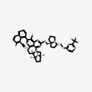 C#Cc1c(F)ccc2cccc(-c3nc4c5c(nc(OC[C@@]67CCCN6[C@H](COc6ccnc(C(F)(F)F)n6)CC7)nc5c3F)N3C[C@H]5CC[C@H](N5)[C@H]3CC4)c12